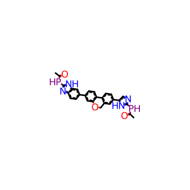 CC(=O)Pc1ncc(-c2ccc3c(c2)COc2cc(-c4ccc5nc(PC(C)=O)[nH]c5c4)ccc2-3)[nH]1